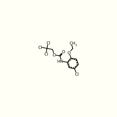 CCOc1ccc(Cl)cc1NC(=O)OCC(Cl)(Cl)Cl